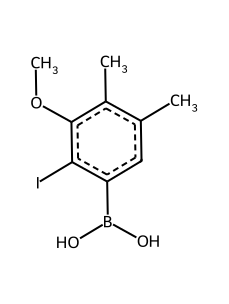 COc1c(C)c(C)cc(B(O)O)c1I